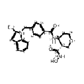 CCc1cc2ccccc2n1Cc1ccc(C(=O)N[C@@H]2CCOC[C@@H]2C(=O)NO)cc1